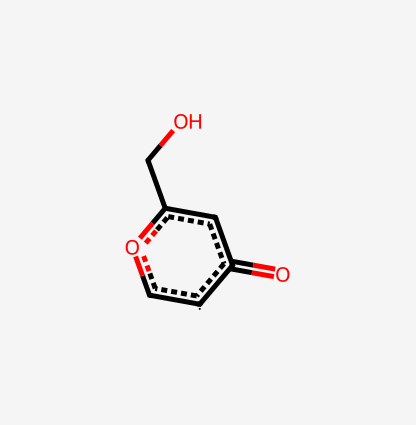 O=c1[c]coc(CO)c1